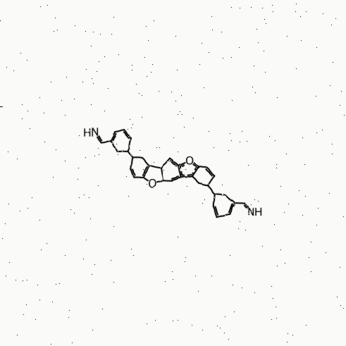 N=CC1=CC=CC(C2C=CC3=C(C2)C2C=c4oc5c(c4=CC2O3)CC(C2C=CC=C(C=N)C2)C=C5)C1